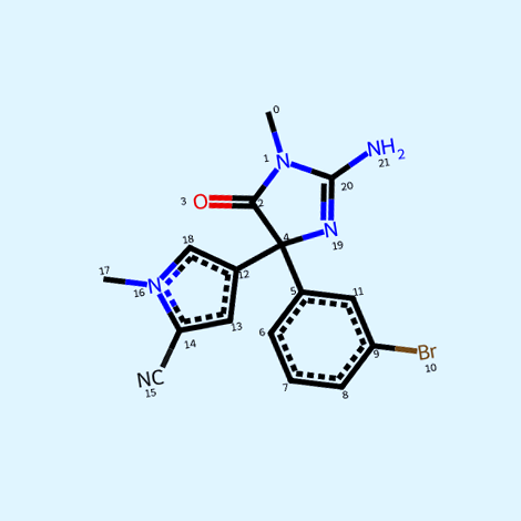 CN1C(=O)C(c2cccc(Br)c2)(c2cc(C#N)n(C)c2)N=C1N